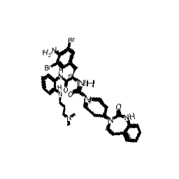 CN(C)CCCNc1ccccc1NC(=O)[C@@H](Cc1cc(Br)c(N)c(Br)c1)NC(=O)N1CCC(N2CCc3ccccc3NC2=O)CC1